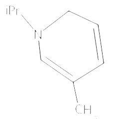 CC1=CN(C(C)C)CC=C1